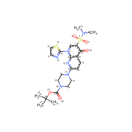 CN(C)S(=O)(=O)c1cn(-c2nccs2)c2nc(N3CCN(C(=O)OC(C)(C)C)CC3)ccc2c1=O